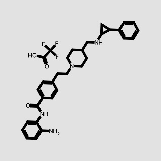 Nc1ccccc1NC(=O)c1ccc(CCN2CCC(CNC3CC3c3ccccc3)CC2)cc1.O=C(O)C(F)(F)F